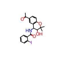 CC(=O)c1ccc2c(c1)C(NC(=O)c1ccccc1I)C(O)C(C)(C)O2